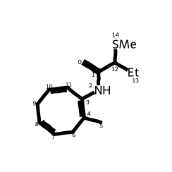 C=C(NC1=C(\C)CC=CC/C=C\1)C(CC)SC